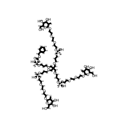 CC1[C@H](OCCOCCOCCOP(O)(=S)OCCCOCC(COCCCOP(O)(=S)OCCOCCOCCO[C@@H]2OC(CO)[C@H](O)[C@H](O)C2C)(COCCCOP(O)(=S)OCCOCCOCCO[C@@H]2OC(CO)[C@H](O)[C@H](O)C2C)COCCCOP(O)(=S)OC(=O)OCc2ccccc2)OC(CO)[C@@H](O)[C@@H]1O